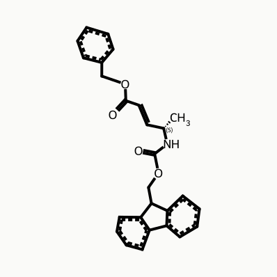 C[C@@H](C=CC(=O)OCc1ccccc1)NC(=O)OCC1c2ccccc2-c2ccccc21